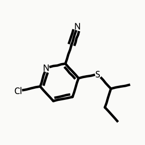 CCC(C)Sc1ccc(Cl)nc1C#N